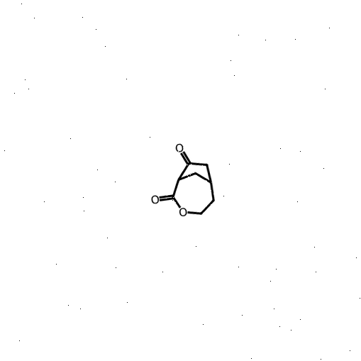 O=C1CC2CCOC(=O)C1C2